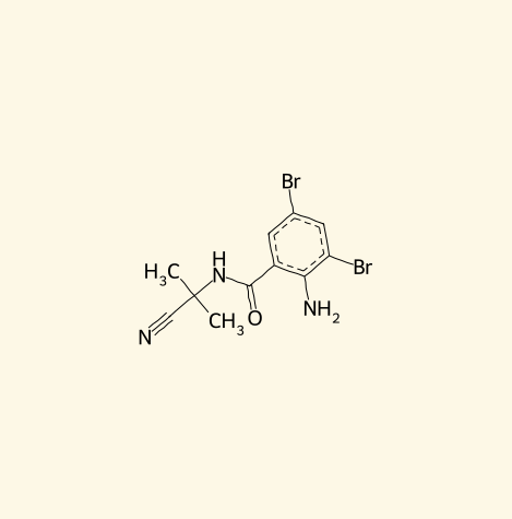 CC(C)(C#N)NC(=O)c1cc(Br)cc(Br)c1N